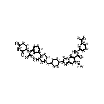 CC(C)Oc1cc2nc(C3CCC(CN4CCC(c5cccc6c5n(C)c(=O)n6C5CCC(=O)NC5=O)CC4)CC3)cn2cc1C(=O)Nc1cccc(C(F)F)n1